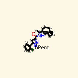 CCCCCN1N=C(C(=O)NC(C)C23CCCC4CC(CC4C2)C3)CC1c1ccccc1F